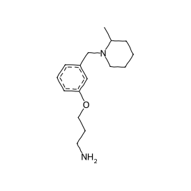 CC1CCCCN1Cc1cccc(OCCCN)c1